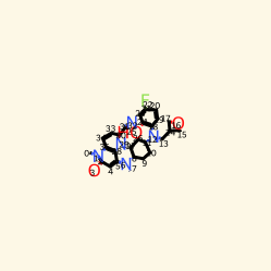 Cn1c(=O)cc(N(C)[C@H]2CC[C@H](N(CC3COC3)c3ccc(F)cc3O)CC2)c2nc(C#N)ccc21